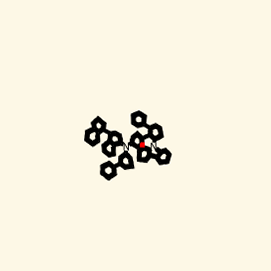 c1ccc(-c2cccc(N(c3ccc(-c4c(-c5ccccc5)cccc4-n4c5ccccc5c5ccccc54)cc3)c3ccc(-c4cccc5ccccc45)c4ccccc34)c2)cc1